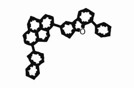 c1ccc(-c2cccc3c2oc2ccc(-c4ccc5ccc6ccc(-c7ccc8ccccc8c7)c7ccc4c5c67)cc23)cc1